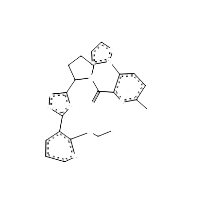 CCOc1ncccc1-c1noc(C2CCCN2C(=O)c2nc(C)ccc2-n2nccn2)n1